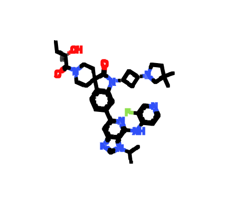 CC[C@H](O)C(=O)N1CCC2(CC1)C(=O)N([C@H]1C[C@@H](N3CCC(C)(C)C3)C1)c1cc(-c3cc4ncn(C(C)C)c4c(Nc4ccncc4F)n3)ccc12